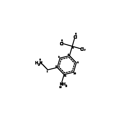 NCc1cc(C(Cl)(Cl)Cl)ccc1N